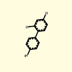 CC(C)c1ccc(-c2ccc(Cl)cc2Cl)cc1